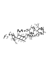 COc1cnc(-c2c(OC)ncnc2C2CC2)nc1N(C)CC12C3C4C1C1C2C3C41c1nc(C(F)(F)F)cn1C